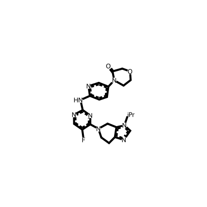 CC(C)n1cnc2c1CN(c1nc(Nc3ccc(N4CCOCC4=O)cn3)ncc1F)CC2